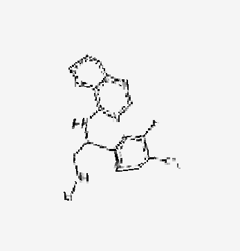 CCNCC(Nc1ncnc2cccnc12)c1ccc(C(F)(F)F)c(F)c1